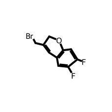 Fc1cc2c(cc1F)OCC(CBr)=C2